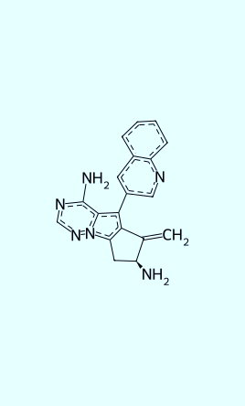 C=C1c2c(-c3cnc4ccccc4c3)c3c(N)ncnn3c2C[C@@H]1N